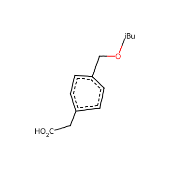 CCC(C)OCc1ccc(CC(=O)O)cc1